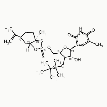 C=C(C)[C@H]1CC[C@@]2(C)S[P@](=S)(OC[C@H]3O[C@@H](n4cc(C)c(=O)[nH]c4=O)[C@H](O)C3O[Si](C)(C)C(C)(C)C)O[C@@H]2C1